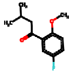 COc1ccc(F)cc1C(=O)CC(C)C